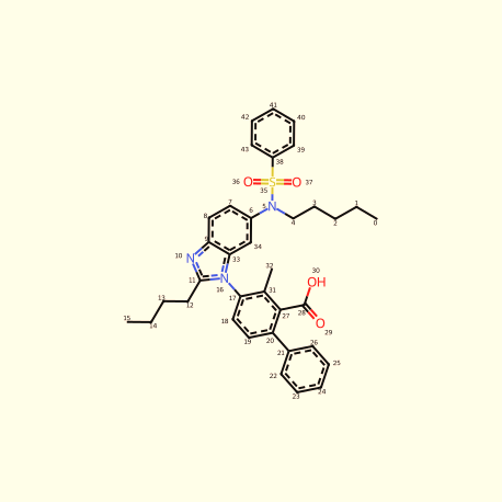 CCCCCN(c1ccc2nc(CCCC)n(-c3ccc(-c4ccccc4)c(C(=O)O)c3C)c2c1)S(=O)(=O)c1ccccc1